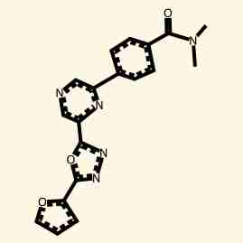 CN(C)C(=O)c1ccc(-c2cncc(-c3nnc(-c4ccco4)o3)n2)cc1